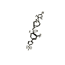 CS(=O)(=O)c1ccc(-c2cc(F)c(OCC3C4CN(c5ncc(Br)cn5)CC34)c(F)c2)cc1